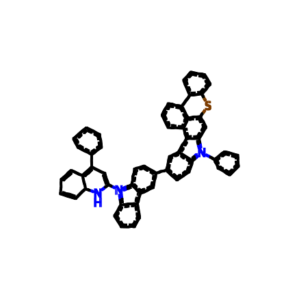 C1=CC2=C(c3ccccc3)C=C(n3c4ccccc4c4cc(-c5ccc6c(c5)c5c7cccc8c7c(cc5n6-c5ccccc5)Sc5ccccc5-8)ccc43)NC2C=C1